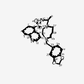 CC(NS(=O)(=O)c1cccc2ncccc12)N1CCCN(Cc2ccc3c(c2)OCO3)CC1